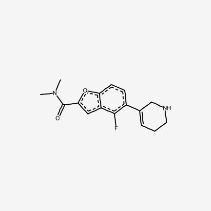 CN(C)C(=O)c1cc2c(F)c(C3=CCCNC3)ccc2o1